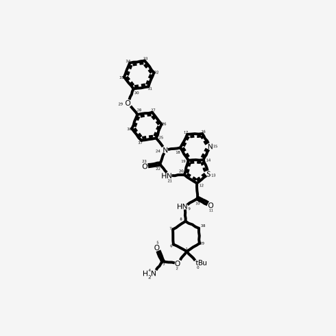 CC(C)(C)C1(OC(N)=O)CCC(NC(=O)c2sc3nccc4c3c2NC(=O)N4c2ccc(Oc3ccccc3)cc2)CC1